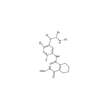 CCCCCCNC(=O)C1=C(C(=O)Nc2cc([S+]([O-])C(CC)PCC)c(Cl)cc2F)CCCC1